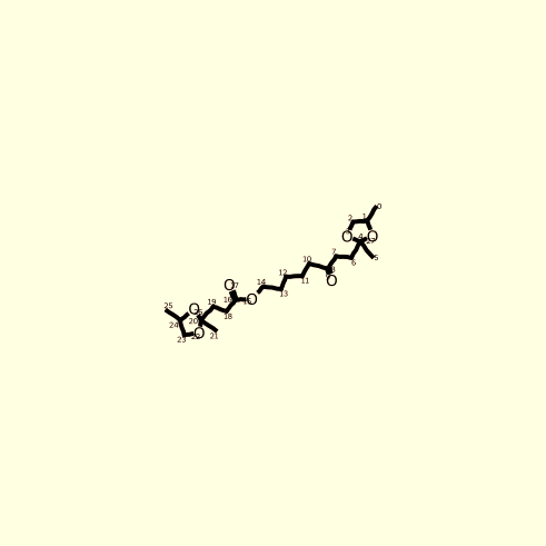 CC1COC(C)(CCC(=O)CCCCCOC(=O)CCC2(C)OCC(C)O2)O1